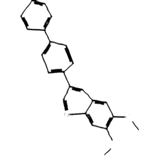 COc1cc2cc(-c3ccc(-c4ccccc4)cc3)cnc2cc1OC